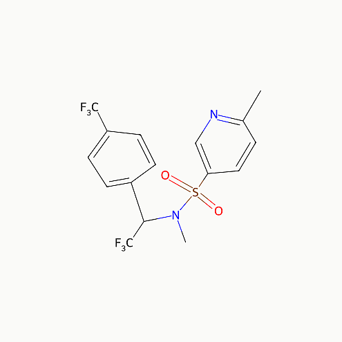 Cc1ccc(S(=O)(=O)N(C)C(c2ccc(C(F)(F)F)cc2)C(F)(F)F)cn1